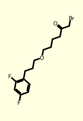 O=C(CBr)CCCCOCCCc1ccc(F)cc1F